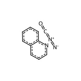 [N-]=[N+]=C=O.c1ccc2ncccc2c1